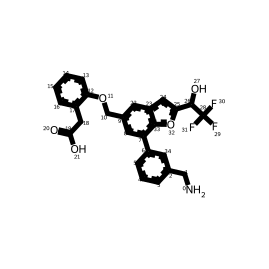 NCc1cccc(-c2cc(COc3ccccc3CC(=O)O)cc3cc(C(O)C(F)(F)F)oc23)c1